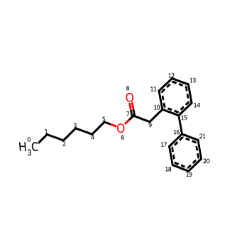 CCCCCCOC(=O)Cc1ccccc1-c1ccccc1